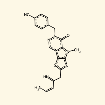 Cn1c2nc(CC(=N)/C=C\N)sc2c2cnn(Cc3ccc(C#N)cc3)c(=O)c21